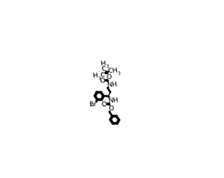 CC(C)(C)OC(=O)NCC[C@@H](NC(=O)OCc1ccccc1)c1cccc(Br)c1